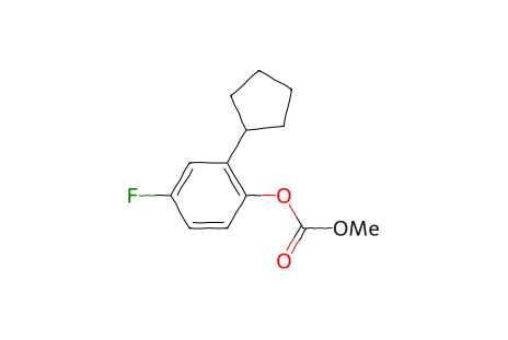 COC(=O)Oc1ccc(F)cc1C1CCCC1